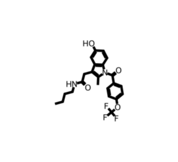 CCCCNC(=O)Cc1c(C)n(C(=O)c2ccc(OC(F)(F)F)cc2)c2ccc(O)cc12